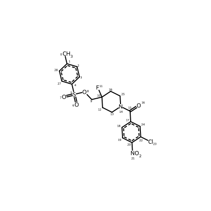 Cc1ccc(S(=O)(=O)OCC2(F)CCN(C(=O)c3ccc([N+](=O)[O-])c(Cl)c3)CC2)cc1